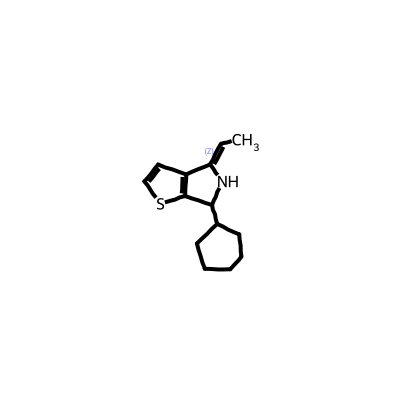 C/C=C1\NC(C2CCCCC2)c2sccc21